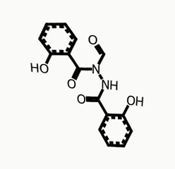 O=CN(NC(=O)c1ccccc1O)C(=O)c1ccccc1O